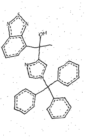 CC(O)(c1cn(C(c2ccccc2)(c2ccccc2)c2ccccc2)cn1)c1cccc2nsnc12